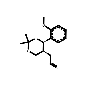 COc1ccccc1[C@@H]1OC(C)(C)OC[C@@H]1CC=O